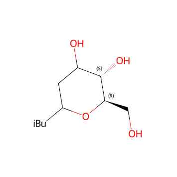 CCC(C)C1CC(O)[C@H](O)[C@@H](CO)O1